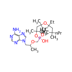 CCCC(C)(C)CC(C)(CC)OC(C)(CC)CC(C)(C)OP(=O)(O)COC(C)Cn1cnc2c(N)ncnc21